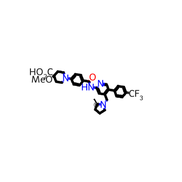 COC1(C(=O)O)CCN(c2ccc(C(=O)Nc3cc(CN4CCC[C@H]4C)c(-c4ccc(C(F)(F)F)cc4)cn3)cc2)CC1